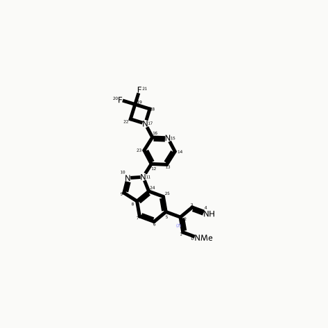 CN/C=C(\C=N)c1ccc2cnn(-c3ccnc(N4CC(F)(F)C4)c3)c2c1